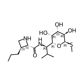 CCC[C@H]1CN[C@@H]1C(=O)N[C@H](C(C)C)[C@H]1O[C@H](SC)[C@H](O)[C@@H](O)[C@H]1O